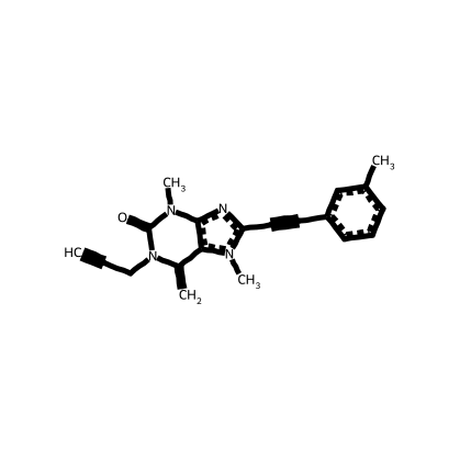 C#CCN1C(=C)c2c(nc(C#Cc3cccc(C)c3)n2C)N(C)C1=O